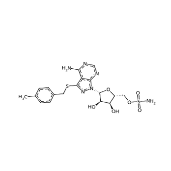 Cc1ccc(CSc2nn([C@@H]3O[C@H](COS(N)(=O)=O)[C@@H](O)[C@H]3O)c3ncnc(N)c23)cc1